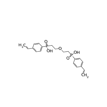 C=Cc1ccc(P(=O)(O)CCOCCP(=O)(O)c2ccc(C=C)cc2)cc1